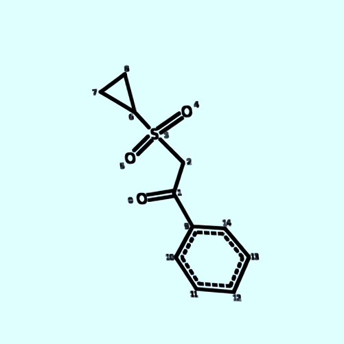 O=C(CS(=O)(=O)C1CC1)c1ccccc1